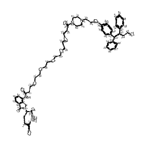 O=C1CCC(N2Cc3c(NC(=O)CCOCCOCCOCCOCCOCCC(=O)N4CCN(CCOc5ccc(/C(=C(/CCCl)c6ccccc6)c6ccccc6)cc5)CC4)cccc3C2=O)C(=O)N1